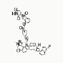 Cc1nn(C)c(C)c1-c1c(Cl)ccc2c(CCCOc3cccc4cc(F)ccc34)c(C(=O)O)n(CCN3CC4(CCN(C(=O)COc5cccc6c5CN(C5CCC(=O)NC5=O)C6=O)CC4)C3)c12